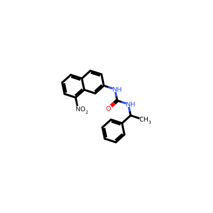 CC(NC(=O)Nc1ccc2cccc([N+](=O)[O-])c2c1)c1ccccc1